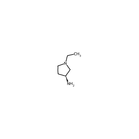 CCN1CC[C@H](N)C1